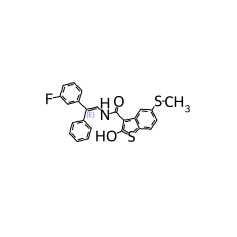 CSc1ccc2sc(O)c(C(=O)N/C=C(\c3ccccc3)c3cccc(F)c3)c2c1